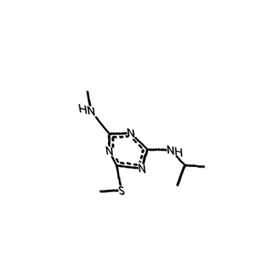 CNc1nc(NC(C)C)nc(SC)n1